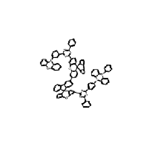 c1ccc(-c2nc(-c3cccc(N4c5ccccc5Oc5ccccc54)c3)nc(-c3ccc4c(c3)Oc3cc(-c5ccc6c(c5)-c5ccccc5C65c6ccccc6Oc6cc(-c7nc(-c8ccccc8)nc(-c8ccc(N9c%10ccccc%10N(c%10ccccc%10)c%10ccccc%109)cc8)n7)ccc65)ccc3C43c4ccccc4-c4ccccc43)n2)cc1